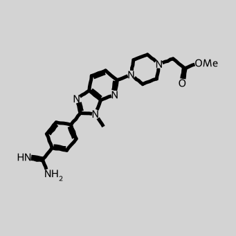 COC(=O)CN1CCN(c2ccc3nc(-c4ccc(C(=N)N)cc4)n(C)c3n2)CC1